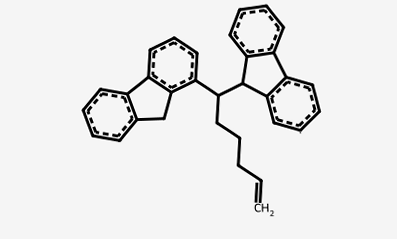 C=CCCCC(c1cccc2c1Cc1ccccc1-2)C1c2c[c]ccc2-c2ccccc21